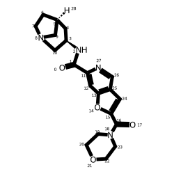 O=C(N[C@@H]1C[C@@H]2CCN(C2)C1)c1cc2oc(C(=O)N3CCOCC3)cc2cn1